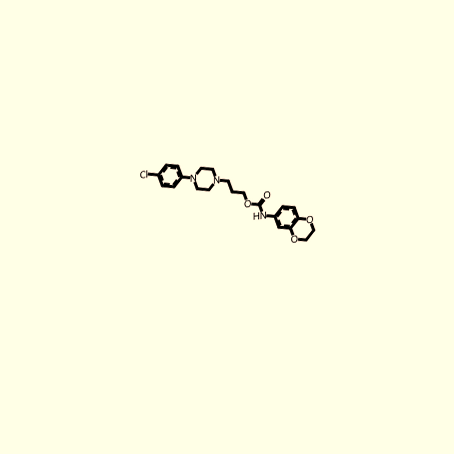 O=C(Nc1ccc2c(c1)OCCO2)OCCCN1CCN(c2ccc(Cl)cc2)CC1